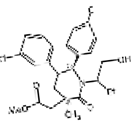 CCC(CO)N1C(=O)[C@@](C)(CC(=O)OC)CC(c2cccc(Cl)c2)[C@H]1c1ccc(Cl)cc1